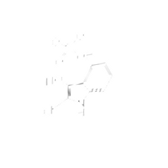 O=P(O)(O)O.Oc1c(Cl)[nH]c2ccccc12